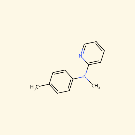 Cc1ccc(N(C)c2ccccn2)cc1